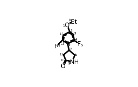 CCOc1cc(F)c(C2CNC(=O)C2)c(F)c1